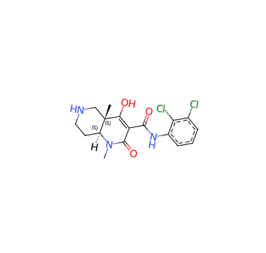 CN1C(=O)C(C(=O)Nc2cccc(Cl)c2Cl)=C(O)[C@@]2(C)CNCC[C@H]12